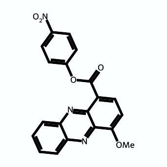 COc1ccc(C(=O)Oc2ccc([N+](=O)[O-])cc2)c2nc3ccccc3nc12